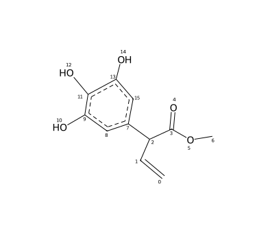 C=CC(C(=O)OC)c1cc(O)c(O)c(O)c1